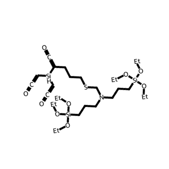 CCO[Si](CCCN(CCC[Si](OCC)(OCC)OCC)CSCCCC(=C=O)[SiH](C=C=O)C=C=O)(OCC)OCC